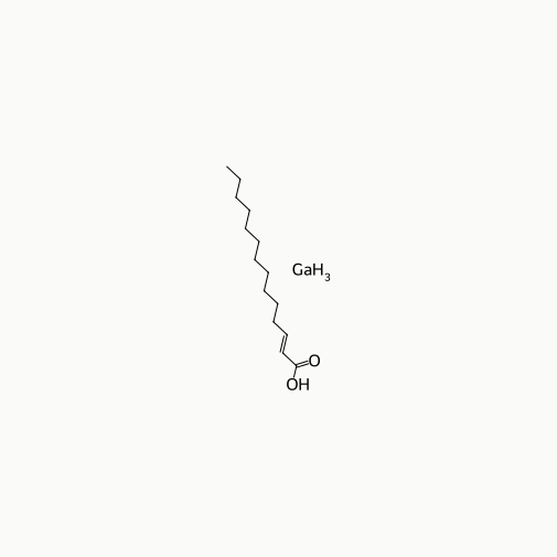 CCCCCCCCCCCC=CC(=O)O.[GaH3]